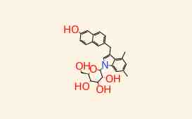 Cc1cc(C)c2c(Cc3ccc4cc(O)ccc4c3)cn([C@@H]3O[C@H](CO)[C@@H](O)[C@H](O)[C@H]3O)c2c1